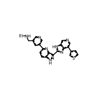 CCNCc1cncc(-c2ccc3[nH]nc(-c4nc5c(-c6ccsc6)cncc5[nH]4)c3n2)c1